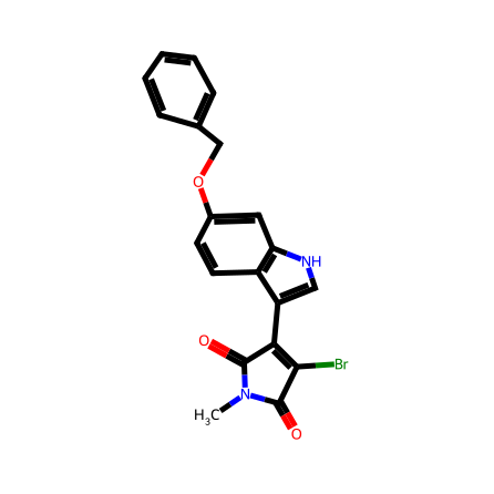 CN1C(=O)C(Br)=C(c2c[nH]c3cc(OCc4ccccc4)ccc23)C1=O